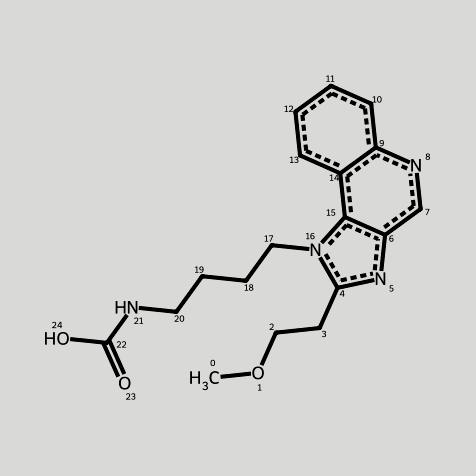 COCCc1nc2cnc3ccccc3c2n1CCCCNC(=O)O